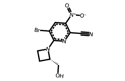 N#Cc1nc(N2CC[C@H]2CO)c(Br)cc1[N+](=O)[O-]